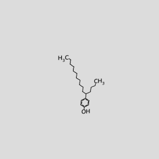 CCCCCCCCCCCC(CCCC)c1ccc(O)cc1